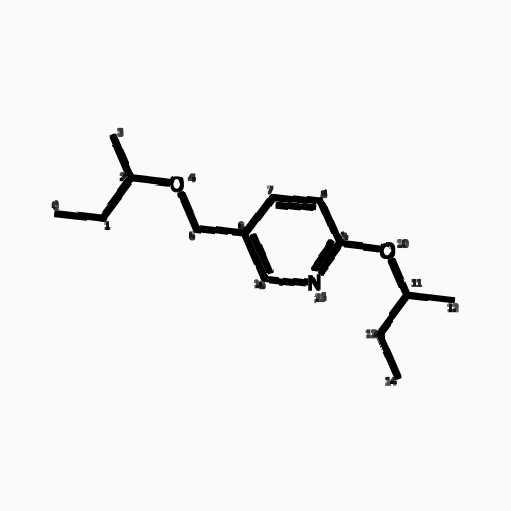 CCC(C)OCc1ccc(OC(C)CC)nc1